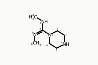 C/N=C(/NC)N1CCNCC1